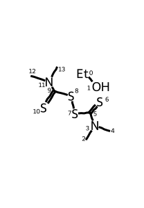 CCO.CN(C)C(=S)SSC(=S)N(C)C